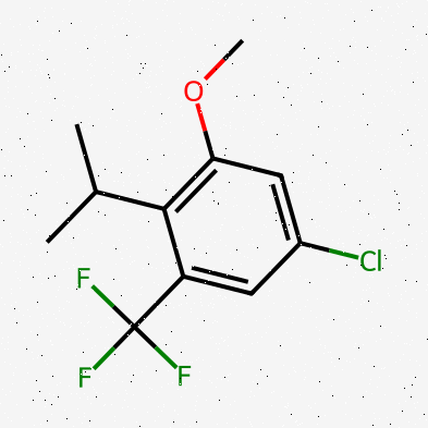 COc1cc(Cl)cc(C(F)(F)F)c1C(C)C